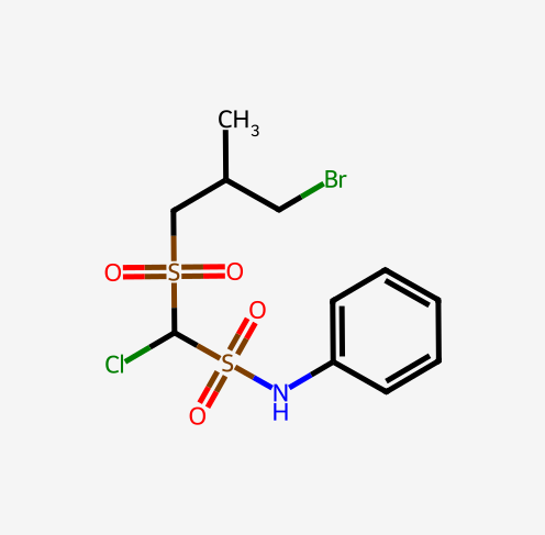 CC(CBr)CS(=O)(=O)C(Cl)S(=O)(=O)Nc1ccccc1